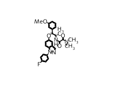 COc1cccc([C@@H](Oc2ccc3c(cnn3-c3ccc(F)cc3)c2)[C@H](C)NC(=O)C(=O)N(C)C)c1